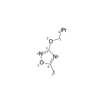 CC(C)COc1noc(I)n1